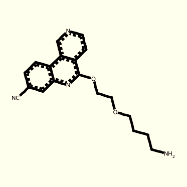 N#Cc1ccc2c(c1)nc(OCCOCCCCN)c1ccncc12